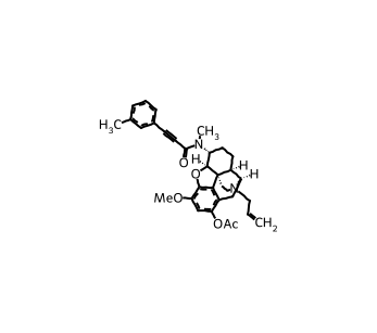 C=CCN1CC[C@]23c4c5c(OC(C)=O)cc(OC)c4O[C@H]2[C@H](N(C)C(=O)C#Cc2cccc(C)c2)CC[C@H]3[C@H]1C5